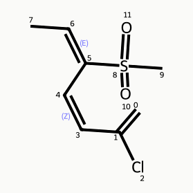 C=C(Cl)/C=C\C(=C/C)S(C)(=O)=O